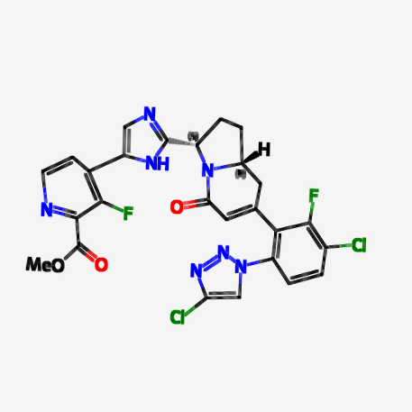 COC(=O)c1nccc(-c2cnc([C@@H]3CC[C@@H]4CC(c5c(-n6cc(Cl)nn6)ccc(Cl)c5F)=CC(=O)N43)[nH]2)c1F